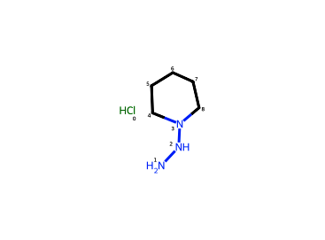 Cl.NNN1CCCCC1